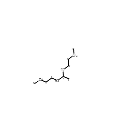 COCCOC(C)OCCOC